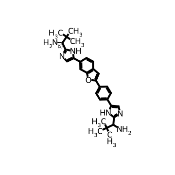 CC(C)(C)C(N)c1ncc(-c2ccc(-c3cc4ccc(-c5cnc([C@@H](N)C(C)(C)C)[nH]5)cc4o3)cc2)[nH]1